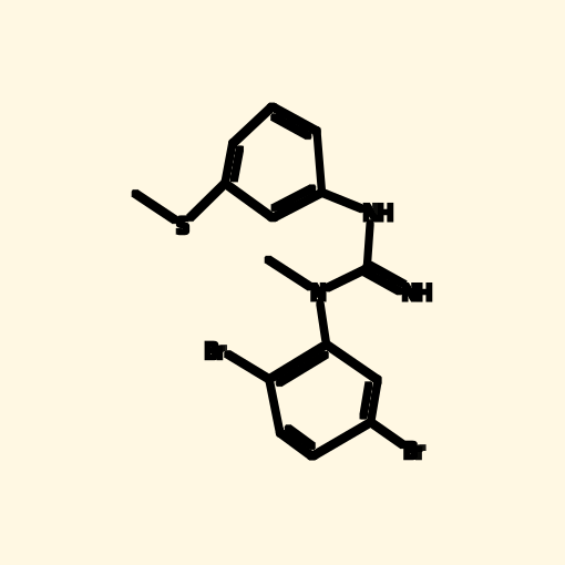 CSc1cccc(NC(=N)N(C)c2cc(Br)ccc2Br)c1